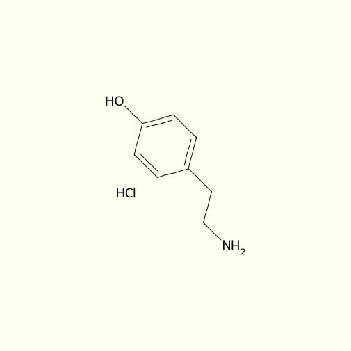 Cl.NCCc1ccc(O)cc1